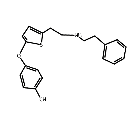 N#Cc1ccc(Oc2ccc(CCNCCc3ccccc3)s2)cc1